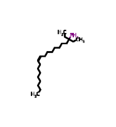 CCCCCCCC/C=C\CCCCCCCC(P)(CC)CC